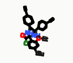 C#Cc1ccc([C@H]2NC(C(=O)Cl)(c3ccc(C(C)(C)C)cc3OCC)N[C@H]2c2ccc(C#C)cc2)cc1